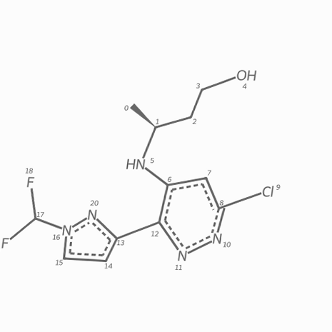 C[C@@H](CCO)Nc1cc(Cl)nnc1-c1ccn(C(F)F)n1